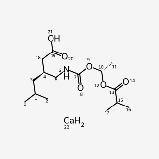 CC(C)C[C@H](CNC(=O)O[C@H](C)OC(=O)C(C)C)CC(=O)O.[CaH2]